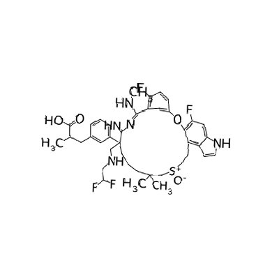 CN/C1=N\C(=N)C(CNCC(F)F)(c2cccc(CC(C)C(=O)O)c2)CCCC(C)(C)C[S+]([O-])CCc2c(c(F)cc3[nH]ccc23)Oc2ccc(F)c1c2